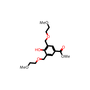 COCCOCc1cc(C(=O)OC)cc(COCCOC)c1O